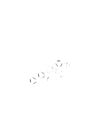 COC(=O)c1nc(-c2cccc(Cl)c2Cl)c(C)nc1N1CCC2(CC1)Cc1ccc(NS(C)(=O)=O)cc1[C@H]2N[S+]([O-])C(C)(C)C